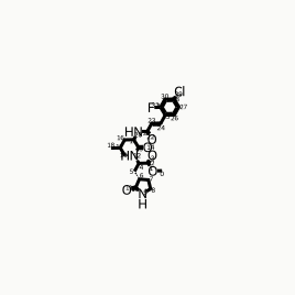 COC(=O)C(C[C@@H]1CCNC1=O)NC(=O)C(CC(C)C)NC(=O)/C=C/c1ccc(Cl)cc1F